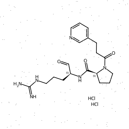 Cl.Cl.N=C(N)NCCC[C@@H](C=O)NC(=O)[C@@H]1CCCN1C(=O)CCc1cccnc1